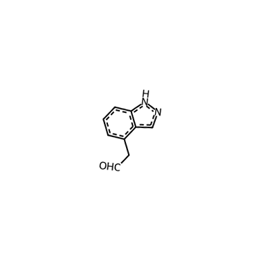 O=CCc1cccc2[nH]ncc12